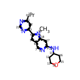 CC(C)c1cc(-c2cc3cnc(NC4CCOCC4)cc3n2C)ncn1